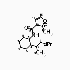 CC(C)CC(C)C1CCCCC1NC(=O)C1C=COC1C